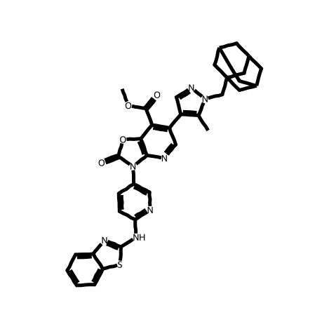 COC(=O)c1c(-c2cnn(CC34CC5CC(CC(C5)C3)C4)c2C)cnc2c1oc(=O)n2-c1ccc(Nc2nc3ccccc3s2)nc1